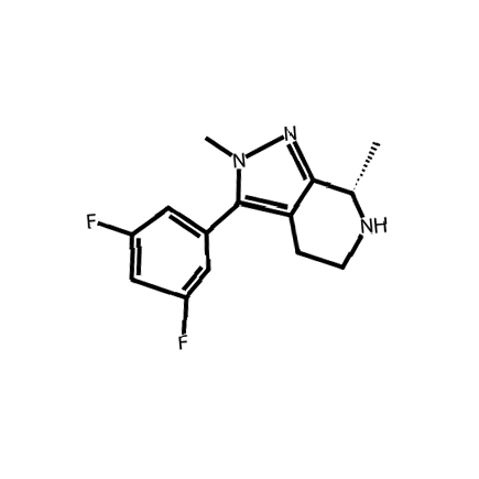 C[C@@H]1NCCc2c1nn(C)c2-c1cc(F)cc(F)c1